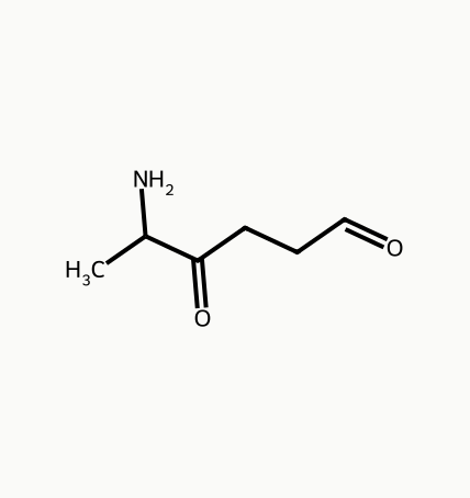 CC(N)C(=O)CCC=O